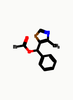 CCC(=O)OC(c1ccccc1)c1scnc1C